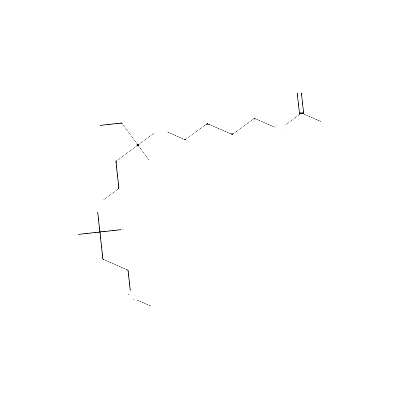 CCC(C)(CCOC(C)(C)CCNC)OCCCCNC(C)=O